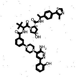 Cc1ncsc1-c1ccc(C(C)NC(=O)[C@@H]2C[C@@H](O)CN2C(=O)C(NC(=O)c2cccc(N3CCN(c4cc(-c5ccccc5O)nnc4N)CC3)c2)C(C)(C)C)cc1